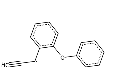 C#C[CH]c1ccccc1Oc1ccccc1